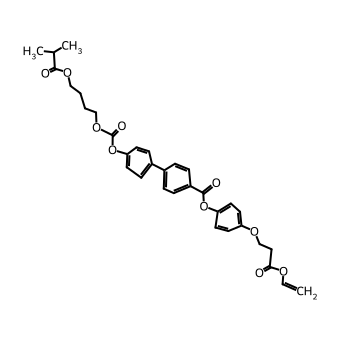 C=COC(=O)CCOc1ccc(OC(=O)c2ccc(-c3ccc(OC(=O)OCCCCOC(=O)C(C)C)cc3)cc2)cc1